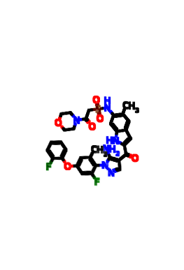 Cc1cc2cc(C(=O)c3cnn(-c4c(C)cc(Oc5ccccc5F)cc4F)c3N)[nH]c2cc1NS(=O)(=O)CC(=O)N1CCOCC1